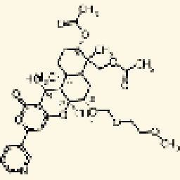 COCCOCO[C@H]1CC2C(C)(COC(C)=O)[C@@H](OC(C)=O)CC[C@]2(C)C2[C@@H](O)c3c(cc(-c4cccnc4)oc3=O)O[C@@]21C